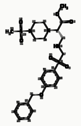 COC(=O)[C@H](CNCS(=O)(=O)c1ccc(OCc2ccccc2)cc1)N1CCN(S(C)(=O)=O)CC1